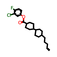 C=CCCCC1CCC(C2CCC(C(=O)Oc3ccc(F)c(Cl)c3)CC2)CC1